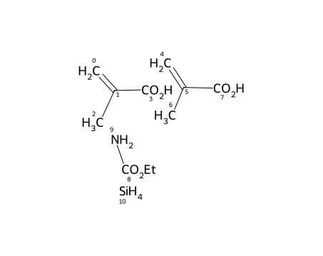 C=C(C)C(=O)O.C=C(C)C(=O)O.CCOC(N)=O.[SiH4]